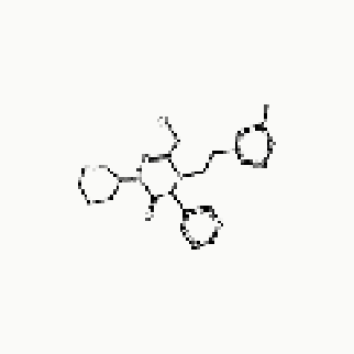 O=C(NC1CCCCC1)C(c1cccnc1)N(CCc1cccc(F)c1)C(=O)CCl